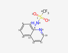 NS(=O)(=O)C(F)(F)F.c1ccc2ncccc2c1